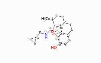 C=C1CCC2CCc3ccc(O)c4c3[C@@]2(CCNCC2CC2)C1O4